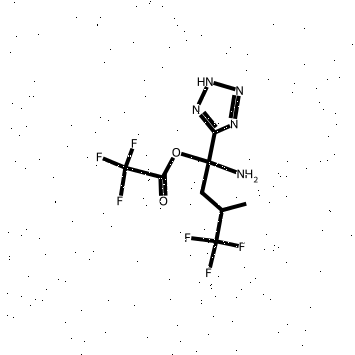 CC(CC(N)(OC(=O)C(F)(F)F)c1nn[nH]n1)C(F)(F)F